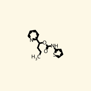 CCCC(OC(=O)Nc1cccs1)c1ccccn1